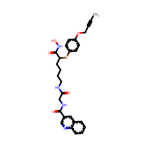 CC#CCOc1ccc(SC(CCCCNC(=O)CNC(=O)c2cnc3ccccc3c2)C(=O)NO)cc1